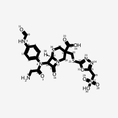 NCC(=O)N(c1ccc(NC=O)cc1)C1C(=O)N2CC(CSc3nnc(CS(=O)(=O)O)o3)(C(=O)O)CS[C@H]12